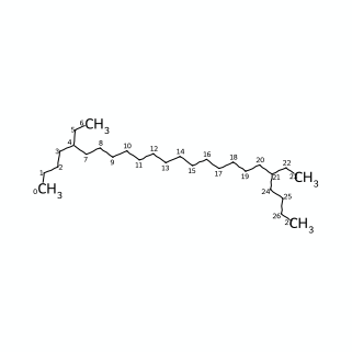 CCCCC(CC)CCCCCCCCCCCCCCC(CC)CCCC